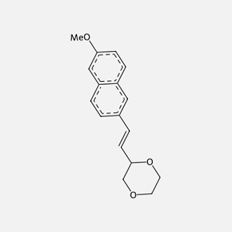 COc1ccc2cc(C=CC3COCCO3)ccc2c1